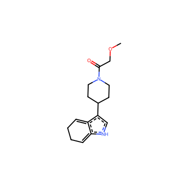 COCC(=O)N1CCC(c2c[nH]c3c2=CCCC=3)CC1